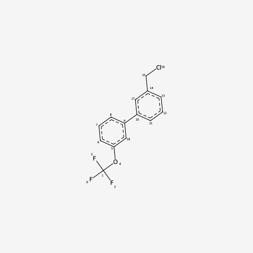 FC(F)(F)Oc1cccc(-c2cccc(CCl)c2)c1